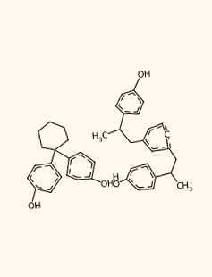 CC(Cc1cccc(CC(C)c2ccc(O)cc2)c1)c1ccc(O)cc1.Oc1ccc(C2(c3ccc(O)cc3)CCCCC2)cc1